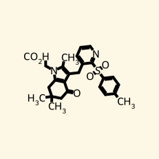 Cc1ccc(S(=O)(=O)c2ncccc2Cc2c3c(n(CC(=O)O)c2C)CC(C)(C)CC3=O)cc1